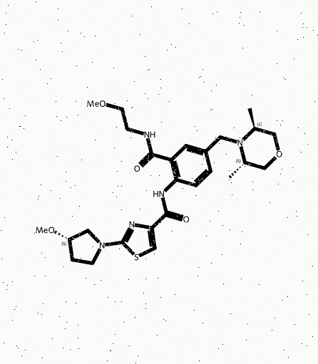 COCCNC(=O)c1cc(CN2[C@@H](C)COC[C@@H]2C)ccc1NC(=O)c1csc(N2CC[C@H](OC)C2)n1